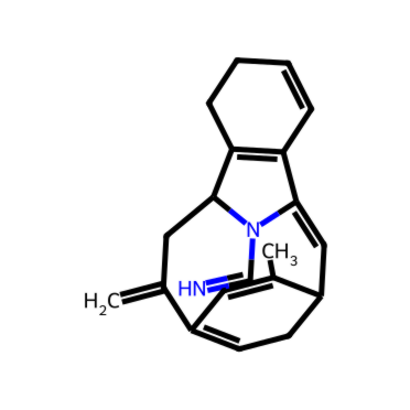 C=C1CC2C3=C(C=CCC3)/C(=C/C3CC=C1C=C3C)N2C=N